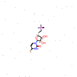 C=P(C)(C)CC[C@H]1OC(n2ccc(=S)[nH]c2=O)[C@H](O)[C@@H]1O